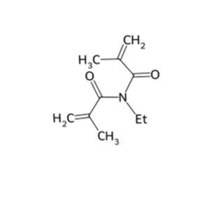 [CH2]CN(C(=O)C(=C)C)C(=O)C(=C)C